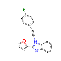 Fc1ccc(C#Cn2c(-c3ccco3)nc3ccccc32)cc1